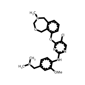 COc1cc(CN(C)C)ccc1Nc1ncc(Cl)c(Oc2cccc3c2COCN(C)C3)n1